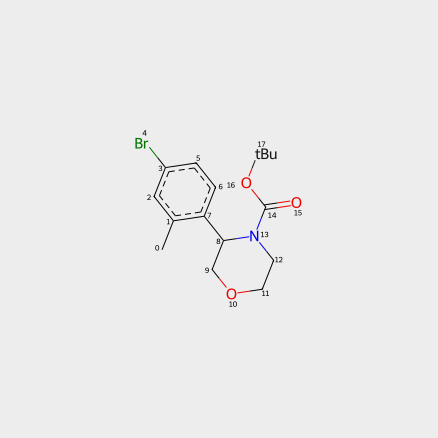 Cc1cc(Br)ccc1C1COCCN1C(=O)OC(C)(C)C